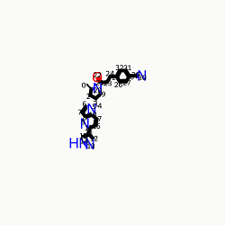 C[C@@H]1C[C@@H](Cn2ccc3nc(-c4cn[nH]c4)ccc32)CN1C(=O)CCc1ccc(C#N)cc1